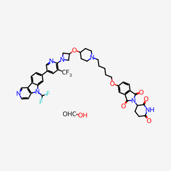 O=C1CCC(N2C(=O)c3ccc(OCCCCCN4CCC(OC5CN(c6ncc(-c7ccc8c9cnccc9n(C(F)F)c8c7)cc6C(F)(F)F)C5)CC4)cc3C2=O)C(=O)N1.O=CO